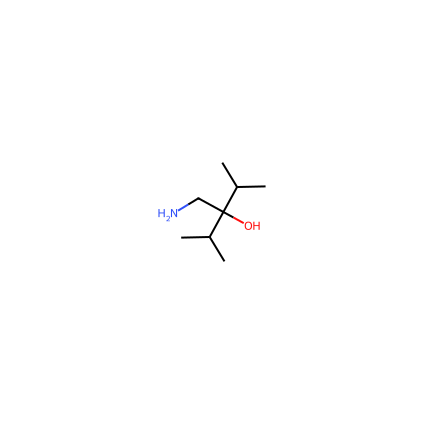 CC(C)C(O)(CN)C(C)C